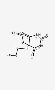 C=CCC1(CCCF)C(=O)NC(=O)NC1=O